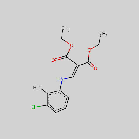 CCOC(=O)C(=CNc1cccc(Cl)c1C)C(=O)OCC